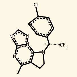 Cc1nc2ncnn2c2c1CCN2[C@H](c1ccc(Cl)cc1)C(F)(F)F